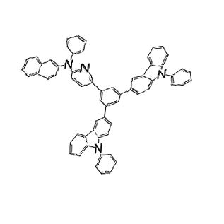 c1ccc(N(c2ccc3ccccc3c2)c2ccc(-c3cc(-c4ccc5c(c4)c4ccccc4n5-c4ccccc4)cc(-c4ccc5c(c4)c4ccccc4n5-c4ccccc4)c3)cn2)cc1